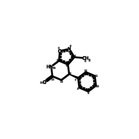 Cc1noc2c1[C@@H](c1ccccc1)CC(=O)N2